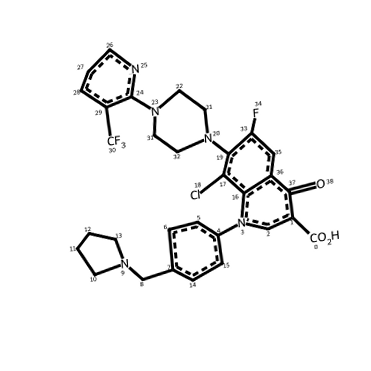 O=C(O)c1cn(-c2ccc(CN3CCCC3)cc2)c2c(Cl)c(N3CCN(c4ncccc4C(F)(F)F)CC3)c(F)cc2c1=O